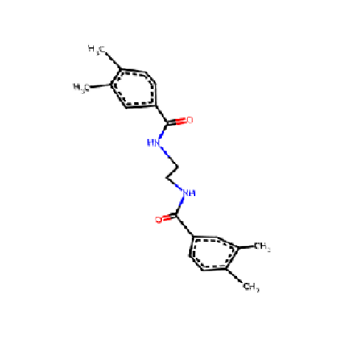 Cc1ccc(C(=O)NCCNC(=O)c2ccc(C)c(C)c2)cc1C